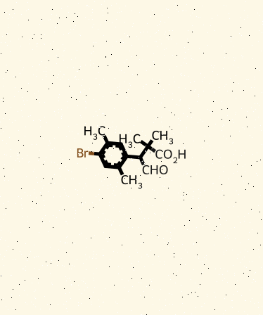 Cc1cc(C(C=O)C(C)(C)C(=O)O)c(C)cc1Br